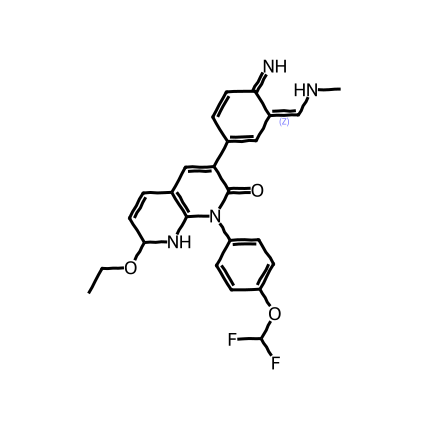 CCOC1C=Cc2cc(C3=C/C(=C/NC)C(=N)C=C3)c(=O)n(-c3ccc(OC(F)F)cc3)c2N1